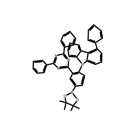 CC1(C)OB(c2ccc(-n3c4ccccc4c4c(-c5ccccc5)cccc43)c(-c3nc(-c4ccccc4)nc(-c4ccccc4)n3)c2)OC1(C)C